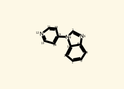 c1ccc2c(c1)ncn2-c1ccncc1